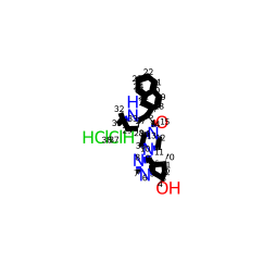 C[C@@H]1C[C@@H](O)c2ncnc(N3CCN(C(=O)[C@@H](c4ccc5ccccc5c4)[C@@H]4CCC(C)(C)N4)CC3)c21.Cl.Cl